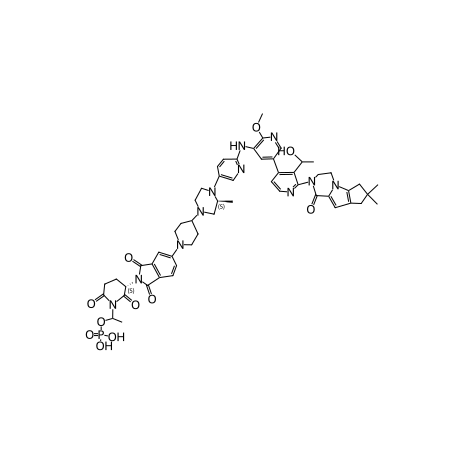 COc1ncc(-c2ccnc(N3CCn4c(cc5c4CC(C)(C)C5)C3=O)c2C(C)O)cc1Nc1ccc(N2CCN(C3CCN(c4ccc5c(c4)C(=O)N([C@H]4CCC(=O)N(C(C)OP(=O)(O)O)C4=O)C5=O)CC3)C[C@@H]2C)cn1